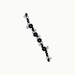 C=CC(=O)OCCCCCc1ccc(/C=C/C(=O)Oc2ccc(SC(=O)c3ccc(OC(=O)/C=C/c4ccc(OCCCCOC(=O)C=C)c(OC)c4)cc3)cc2)cc1OC